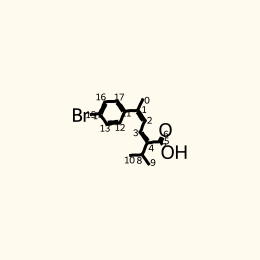 C/C(=C/C=C(\C(=O)O)C(C)C)c1ccc(Br)cc1